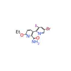 CCOc1ccc(-c2ncc(Br)cc2I)c(C(N)=O)n1